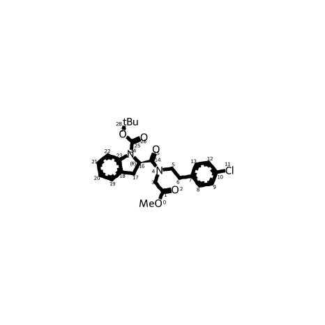 COC(=O)CN(CCc1ccc(Cl)cc1)C(=O)[C@H]1Cc2ccccc2N1C(=O)OC(C)(C)C